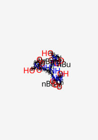 CCCCOc1c(C(=O)NCCCC(N)(CCCNC(=O)c2c(OCCCC)c(=O)ccn2CCO)CCCNC(=O)c2c(OCCCC)c(=O)ccn2CCO)n(CCO)ccc1=O